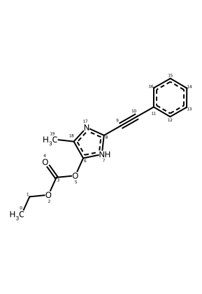 CCOC(=O)Oc1[nH]c(C#Cc2ccccc2)nc1C